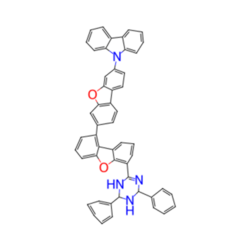 c1ccc(C2N=C(c3cccc4c3oc3cccc(-c5ccc6c(c5)oc5cc(-n7c8ccccc8c8ccccc87)ccc56)c34)NC(c3ccccc3)N2)cc1